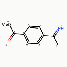 COC(=O)c1ccc(C(C)=N)cc1